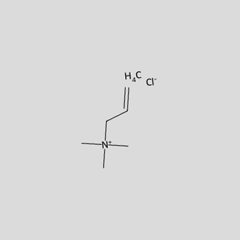 C.C=CC[N+](C)(C)C.[Cl-]